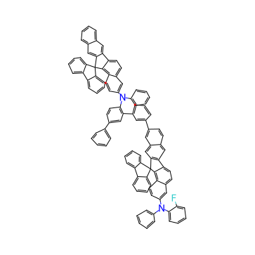 Fc1ccccc1N(c1ccccc1)c1ccc2c3c(ccc2c1)-c1cc2ccc(-c4cccc(-c5cc(-c6ccccc6)ccc5N(c5ccccc5)c5ccc6c7c(ccc6c5)-c5cc6ccccc6cc5C75c6ccccc6-c6ccccc65)c4)cc2cc1C31c2ccccc2-c2ccccc21